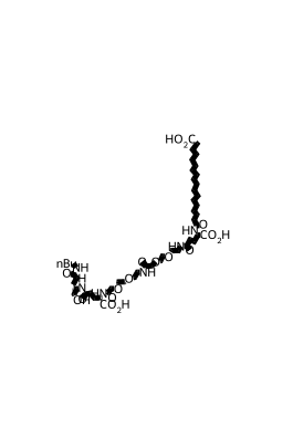 CCCCNC(=O)CC[C@@H](CO)NC(=O)CC[C@H](NC(=O)COCCOCCNC(=O)COCCOCCNC(=O)CCC(NC(=O)CCCCCCCCCCCCCCCCC(=O)O)C(=O)O)C(=O)O